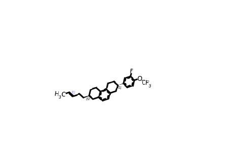 C/C=C/CC[C@H]1CCc2c(ccc3c2CC[C@H](c2ccc(OC(F)(F)F)c(F)c2)C3)C1